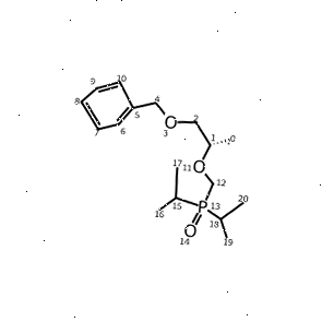 [CH2][C@@H](COCc1ccccc1)OCP(=O)(C(C)C)C(C)C